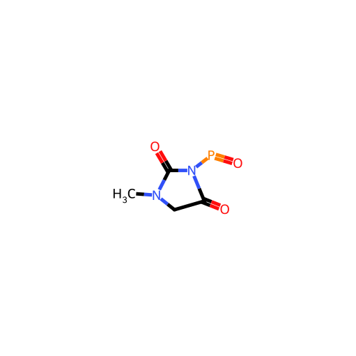 CN1CC(=O)N(P=O)C1=O